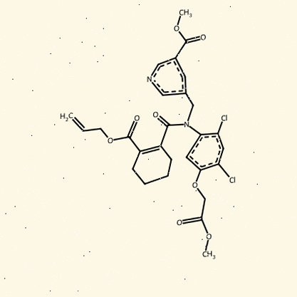 C=CCOC(=O)C1=C(C(=O)N(Cc2cncc(C(=O)OC)c2)c2cc(OCC(=O)OC)c(Cl)cc2Cl)CCCC1